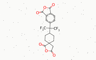 O=C1CC2(CCC(C(c3ccc4c(c3)C(=O)OC4=O)(C(F)(F)F)C(F)(F)F)CC2)C(=O)O1